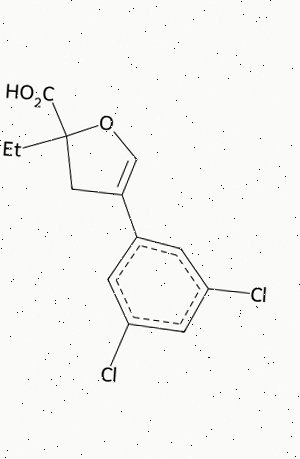 CCC1(C(=O)O)CC(c2cc(Cl)cc(Cl)c2)=CO1